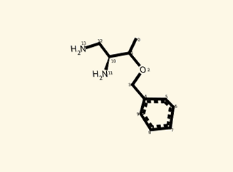 CC(OCc1ccccc1)[C@@H](N)CN